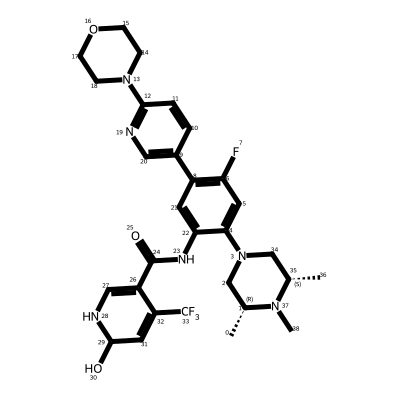 C[C@@H]1CN(c2cc(F)c(-c3ccc(N4CCOCC4)nc3)cc2NC(=O)C2=CNC(O)C=C2C(F)(F)F)C[C@H](C)N1C